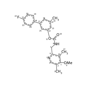 COc1c(C)cnc(CNC(=O)Oc2cc(C)cc(-c3ccc(F)cc3)c2)c1C